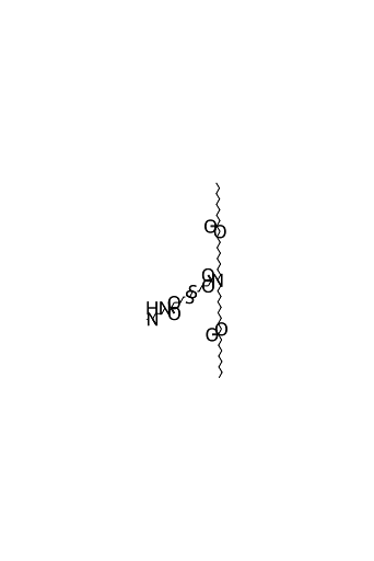 CCCCCCCCC(=O)OCCCCCCCCN(CCCCCCCCOC(=O)CCCCCCCC)C(=O)OCCSSCCOC(=O)NCCN(C)C